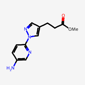 COC(=O)CCc1cnn(-c2ccc(N)cn2)c1